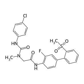 CN(CC(=O)Nc1ccc(-c2ccccc2S(C)(=O)=O)cc1F)C(=O)Nc1ccc(Cl)cc1